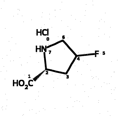 Cl.O=C(O)[C@H]1CC(F)CN1